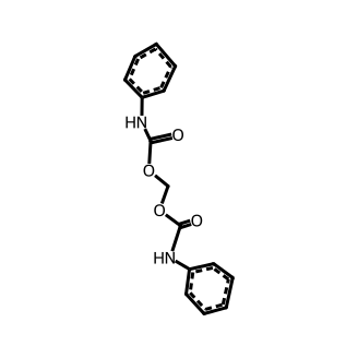 O=C(Nc1ccccc1)OCOC(=O)Nc1ccccc1